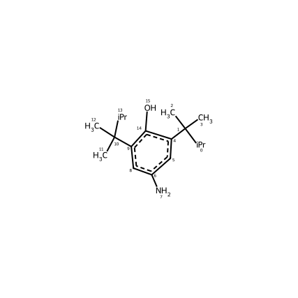 CC(C)C(C)(C)c1cc(N)cc(C(C)(C)C(C)C)c1O